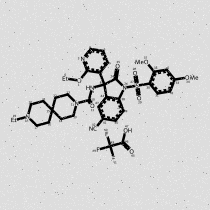 CCOc1ncccc1C1(NC(=O)N2CCC3(CCN(CC)CC3)CC2)C(=O)N(S(=O)(=O)c2ccc(OC)cc2OC)c2ccc(C#N)cc21.O=C(O)C(F)(F)F